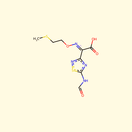 CSCCO/N=C(/C(=O)O)c1nsc(NC=O)n1